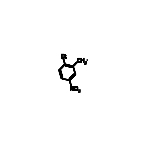 [CH2]c1cc([N+](=O)[O-])ccc1CC